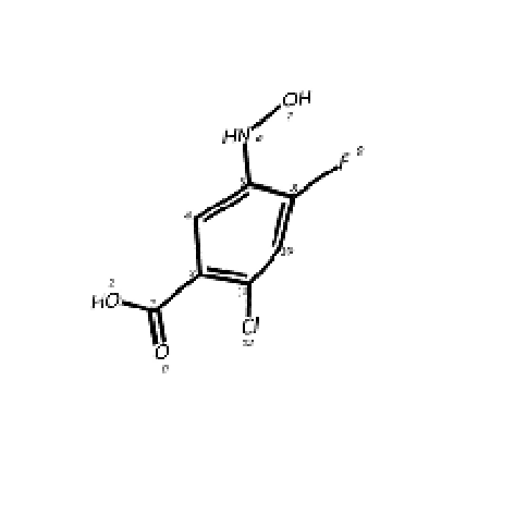 O=C(O)c1cc(NO)c(F)cc1Cl